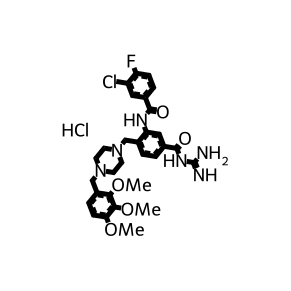 COc1ccc(CN2CCN(Cc3ccc(C(=O)NC(=N)N)cc3NC(=O)c3ccc(F)c(Cl)c3)CC2)c(OC)c1OC.Cl